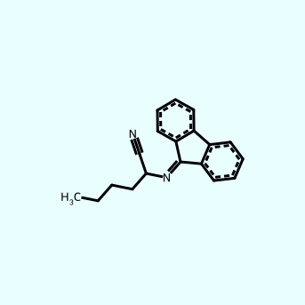 CCCCC(C#N)N=C1c2ccccc2-c2ccccc21